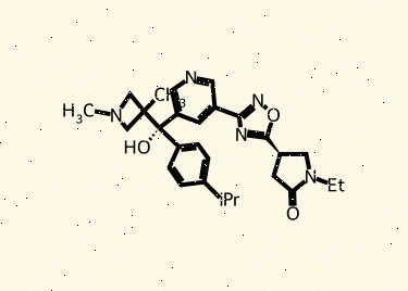 CCN1C[C@H](c2nc(-c3cncc([C@@](O)(c4ccc(C(C)C)cc4)C4(C)CN(C)C4)c3)no2)CC1=O